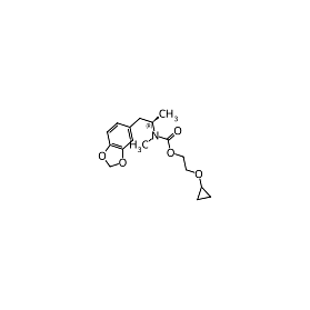 C[C@H](Cc1ccc2c(c1)OCO2)N(C)C(=O)OCCOC1CC1